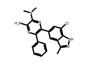 Cc1n[nH]c2c(Cl)cc(-c3nc(N(C)C)c(N)nc3-c3ccccc3)cc12